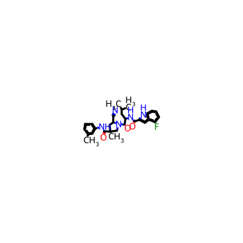 Cc1cccc(NC(=O)C2(C)CC(C#N)N(C(=O)C(CC(C)C)NC(=O)c3cc4c(F)cccc4[nH]3)C2)c1